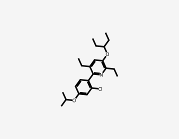 CCc1cc(OC(CC)CC)c(CC)nc1-c1ccc(OC(C)C)cc1Cl